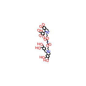 COc1cc2c(cc1OC)C(c1cc(CO)c(OC)c(OC)c1)[N+](C)(CCCOC(=O)/C=C/C(=O)OCCC[N+]1(C)CCc3cc(CO)c(CO)cc3C1Cc1ccc(CO)c(CO)c1)CC2